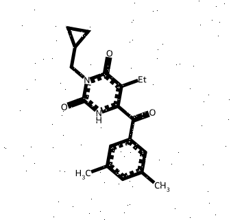 CCc1c(C(=O)c2cc(C)cc(C)c2)[nH]c(=O)n(CC2CC2)c1=O